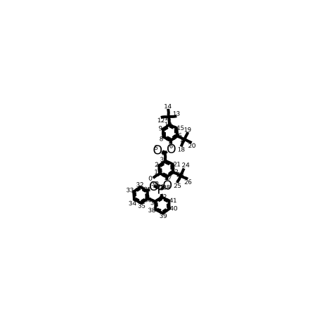 Cc1cc(C(=O)Oc2ccc(C(C)(C)C)cc2C(C)(C)C)cc(C(C)(C)C)c1OP1Oc2ccccc2-c2ccccc21